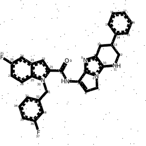 O=C(NC1=CCn2c1nc1c2NCC(c2ccccc2)C1)c1cc2cc(F)ccc2n1Cc1cccc(F)c1